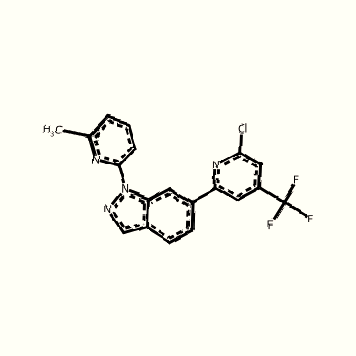 Cc1cccc(-n2ncc3ccc(-c4cc(C(F)(F)F)cc(Cl)n4)cc32)n1